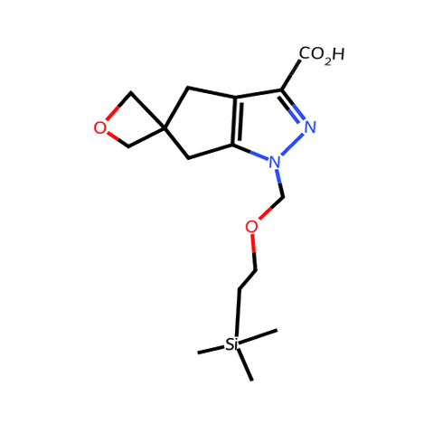 C[Si](C)(C)CCOCn1nc(C(=O)O)c2c1CC1(COC1)C2